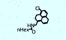 CCCCCCC(=O)NCC1=C2C=CCc3ccc(Cl)c(c32)CC1